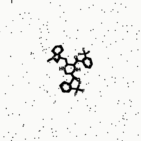 Cn1cc(CC2NCC(C(=O)c3ccccc3C(F)(F)F)NC2C(=O)c2ccccc2C(F)(F)F)c2ccccc21